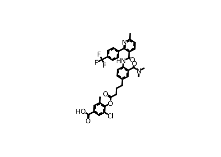 Cc1ccc(C(=O)Nc2ccc(CCCC(=O)Oc3c(C)cc(C(=O)O)cc3Cl)cc2C(=O)N(C)C)c(-c2ccc(C(F)(F)F)cc2)n1